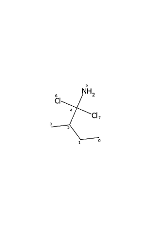 CCC(C)C(N)(Cl)Cl